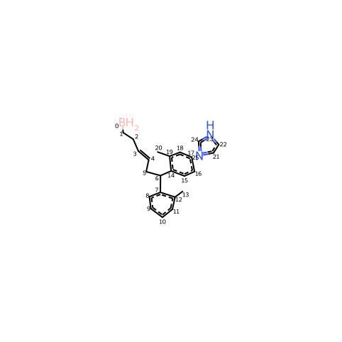 BCCC=CCC(c1ccccc1C)c1ccccc1C.c1c[nH]cn1